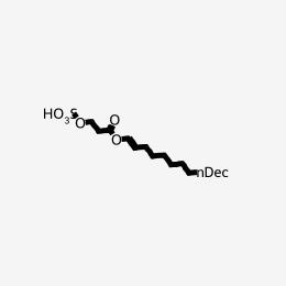 CCCCCCCCCCCCCCCCC=COC(=O)CCOS(=O)(=O)O